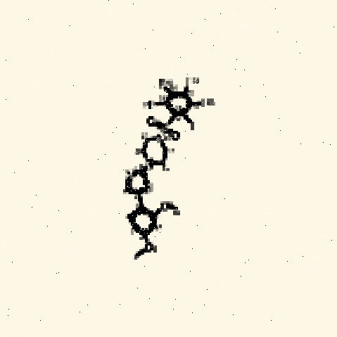 COc1ccc(-c2csc(N3CCN(S(=O)(=O)c4c(F)c(F)c(F)c(F)c4F)CC3)n2)c(OC)c1